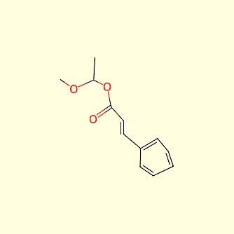 COC(C)OC(=O)C=Cc1ccccc1